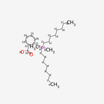 CCCCCCCC[P+](C)(C)CCCCCCCC.O=C([O-])c1ccccc1